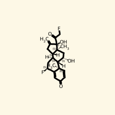 C=C1C[C@H]2[C@@H]3C[C@H](F)C4=CC(=O)C=C[C@]4(C)[C@H]3[C@@H](O)C[C@]2(C)[C@@]1(O)C(=O)CF